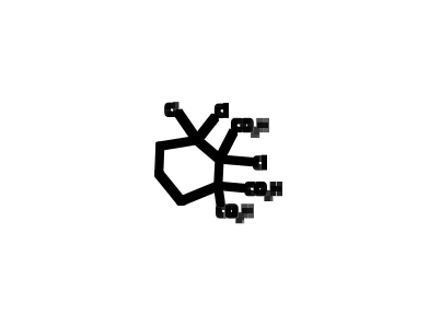 O=C(O)C1(C(=O)O)CCCC(Cl)(Cl)C1(Cl)C(=O)O